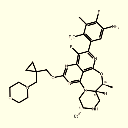 CC[C@@H]1CN2c3nc(OCC4(CN5CCOCC5)CC4)nc4c(F)c(-c5cc(N)c(F)c(C)c5C(F)(F)F)nc(c34)O[C@@H](C)[C@@H]2CN1